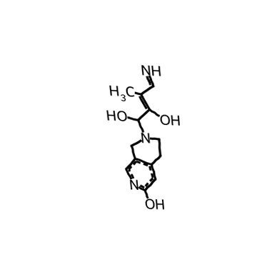 C/C(C=N)=C(/O)C(O)N1CCc2cc(O)ncc2C1